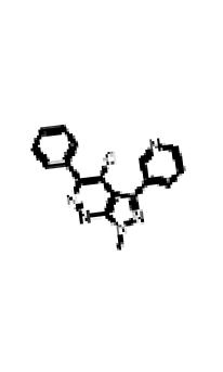 Cn1nc(-c2cccnc2)c2c(Cl)c(-c3ccccc3)nnc21